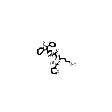 CC(=O)CCCCC[C@H](NC(=O)c1ccccn1)C(=O)NCCc1c(-c2ccccc2)[nH]c2ccccc12